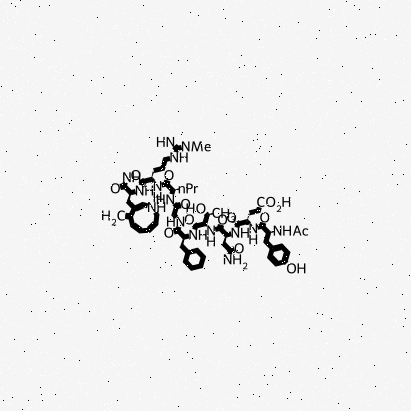 C=C1/C=C\C=C/CN/C=C\1C[C@H](NC(=O)[C@H](CCCNC(=N)NC)NC(=O)[C@H](CCC)NC(=O)CNC(=O)[C@H](CC1CCCCC1)NC(=O)[C@@H](NC(=O)[C@H](CC(N)=O)NC(=O)[C@H](CCC(=O)O)NC(=O)[C@@H](Cc1ccc(O)cc1)NC(C)=O)[C@@H](C)O)C(N)=O